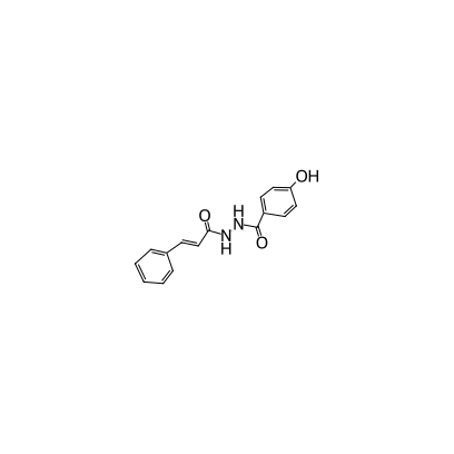 O=C(C=Cc1ccccc1)NNC(=O)c1ccc(O)cc1